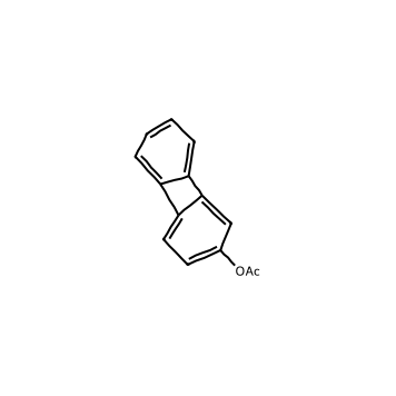 CC(=O)Oc1ccc2c(c1)-c1ccccc1-2